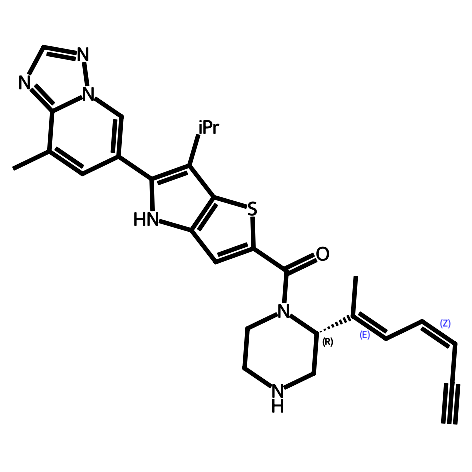 C#C/C=C\C=C(/C)[C@@H]1CNCCN1C(=O)c1cc2[nH]c(-c3cc(C)c4ncnn4c3)c(C(C)C)c2s1